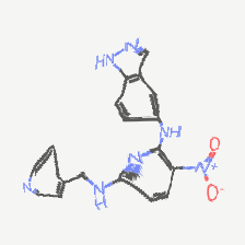 O=[N+]([O-])c1ccc(NCc2ccncc2)nc1Nc1ccc2[nH]ncc2c1